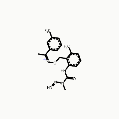 C/C(=N/OCc1c(NC(=O)N(C)N=N)cccc1C(F)(F)F)c1cccc(C(F)(F)F)c1